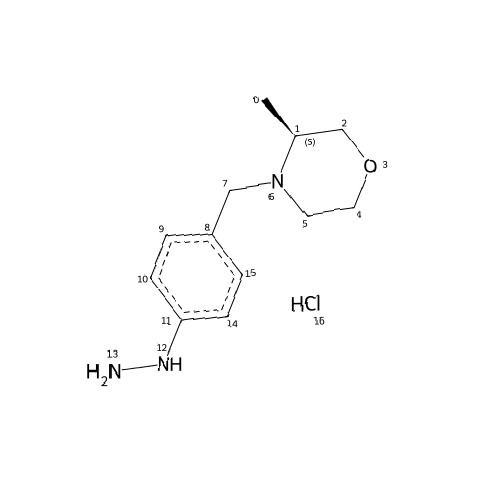 C[C@H]1COCCN1Cc1ccc(NN)cc1.Cl